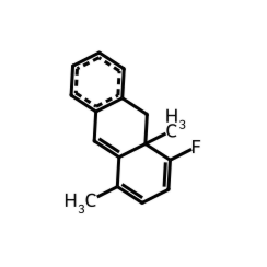 CC1=CC=C(F)C2(C)Cc3ccccc3C=C12